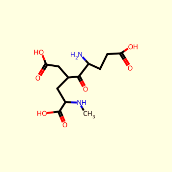 CNC(CC(CC(=O)O)C(=O)C(N)CCC(=O)O)C(=O)O